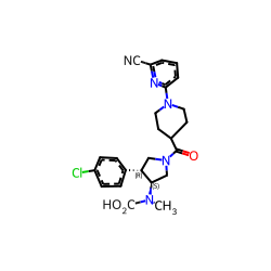 CN(C(=O)O)[C@@H]1CN(C(=O)C2CCN(c3cccc(C#N)n3)CC2)C[C@H]1c1ccc(Cl)cc1